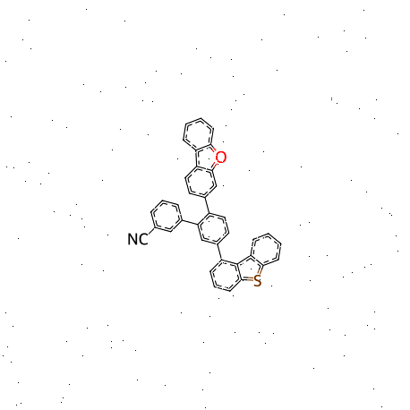 N#Cc1cccc(-c2cc(-c3cccc4sc5ccccc5c34)ccc2-c2ccc3c(c2)oc2ccccc23)c1